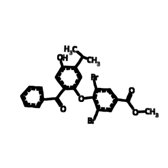 COC(=O)c1cc(Br)c(Oc2cc(C(C)C)c(O)cc2C(=O)c2ccccc2)c(Br)c1